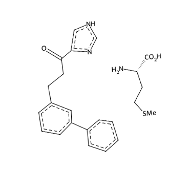 CSCC[C@H](N)C(=O)O.O=C(CCc1cccc(-c2ccccc2)c1)c1c[nH]cn1